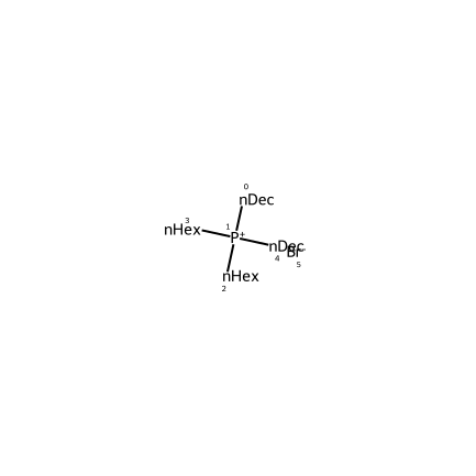 CCCCCCCCCC[P+](CCCCCC)(CCCCCC)CCCCCCCCCC.[Br-]